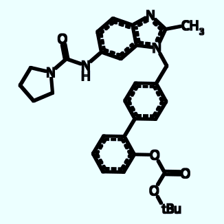 Cc1nc2ccc(NC(=O)N3CCCC3)cc2n1Cc1ccc(-c2ccccc2OC(=O)OC(C)(C)C)cc1